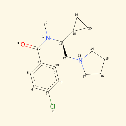 CN(C(=O)c1ccc(Cl)cc1)[C@H](CN1CCCC1)C1CC1